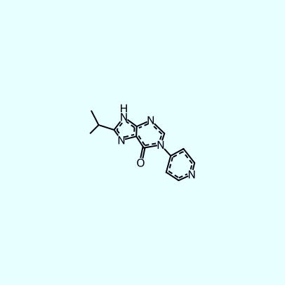 CC(C)c1nc2c(=O)n(-c3ccncc3)cnc2[nH]1